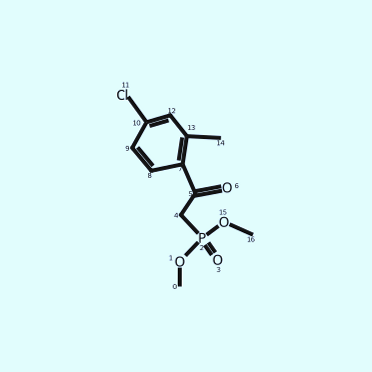 COP(=O)(CC(=O)c1ccc(Cl)cc1C)OC